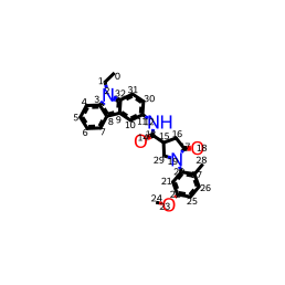 CCn1c2ccccc2c2cc(NC(=O)C3CC(=O)N(c4cc(OC)ccc4C)C3)ccc21